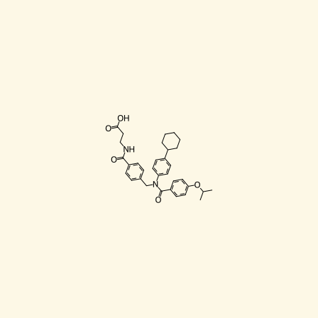 CC(C)Oc1ccc(C(=O)N(Cc2ccc(C(=O)NCCC(=O)O)cc2)c2ccc(C3CCCCC3)cc2)cc1